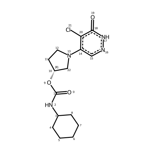 O=C(NC1CCCCC1)O[C@@H]1CCN(c2cn[nH]c(=O)c2Cl)C1